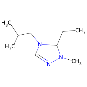 CCC1N(CC(C)C)C=NN1C